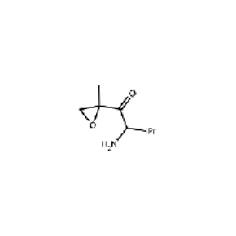 CC(C)C(N)C(=O)C1(C)CO1